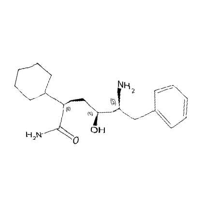 NC(=O)[C@H](C[C@H](O)[C@@H](N)Cc1ccccc1)C1CCCCC1